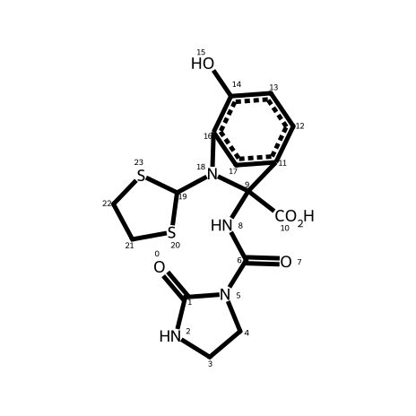 O=C1NCCN1C(=O)NC1(C(=O)O)c2ccc(O)c(c2)N1C1SCCS1